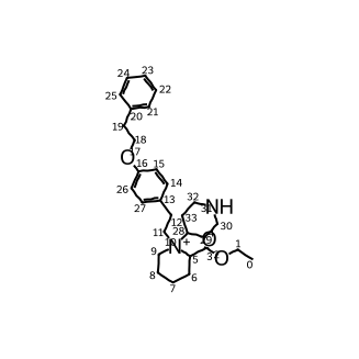 CCOC(=O)C1CCCC[N+]1(CCc1ccc(OCCc2ccccc2)cc1)C1CCNCC1